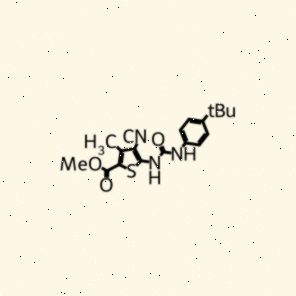 COC(=O)c1sc(NC(=O)Nc2ccc(C(C)(C)C)cc2)c(C#N)c1C